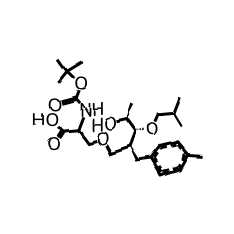 Cc1ccc(C[C@@H](COCC(NC(=O)OC(C)(C)C)C(=O)O)[C@@H](OCC(C)C)[C@H](C)O)cc1